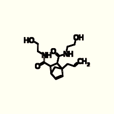 C=CCC12C=CC(C1)C(C(=O)NCCO)C2C(=O)NCCO